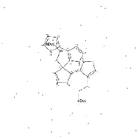 CCCCCCCCCCCCC1=CCSC1=C1SC=CC1(CCCCCCCCCCCC)c1sccc1-c1cccs1